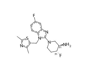 Cc1nc(C)c(Cn2c(N3CC[C@@H](F)[C@H](N)C3)nc3cc(F)ccc32)s1